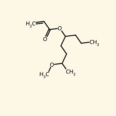 C=CC(=O)OC(CCC)CCC(C)OC